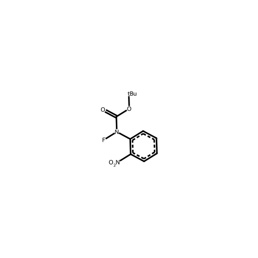 CC(C)(C)OC(=O)N(F)c1ccccc1[N+](=O)[O-]